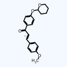 COc1ccc(/C=C/C(=O)c2ccc(OC3CCCCO3)cc2)cc1